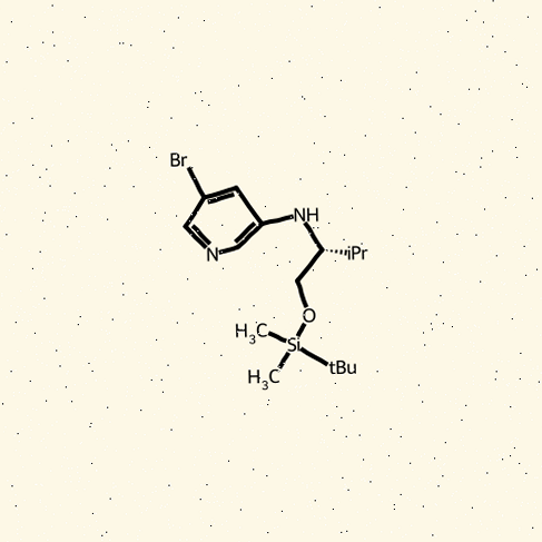 CC(C)[C@H](CO[Si](C)(C)C(C)(C)C)Nc1cncc(Br)c1